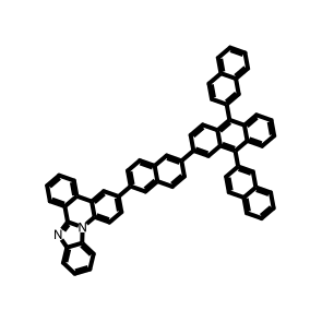 c1ccc2cc(-c3c4ccccc4c(-c4ccc5ccccc5c4)c4cc(-c5ccc6cc(-c7ccc8c(c7)c7ccccc7c7nc9ccccc9n87)ccc6c5)ccc34)ccc2c1